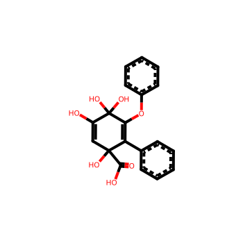 O=C(O)C1(O)C=C(O)C(O)(O)C(Oc2ccccc2)=C1c1ccccc1